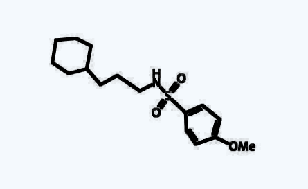 COc1ccc(S(=O)(=O)NCCCC2CCCCC2)cc1